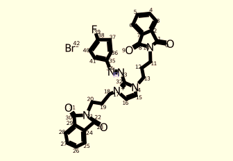 O=C1c2ccccc2C(=O)N1CCCn1cc[n+](CCCN2C(=O)c3ccccc3C2=O)c1/N=N/c1ccc(F)cc1.[Br-]